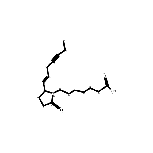 CCC#CC/C=C/C1CCC(=O)N1CCCCCCC(=O)O